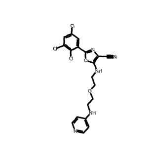 N#Cc1nc(-c2cc(Cl)cc(Cl)c2Cl)oc1NCCOCCNc1ccncc1